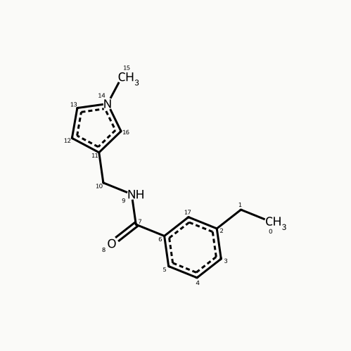 CCc1cccc(C(=O)NCc2ccn(C)c2)c1